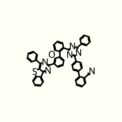 N#Cc1ccccc1-c1ccc(-c2nc(-c3ccccc3)nc(-c3cccc4oc5c(-c6nc(-c7ccccc7)c7sc8ccccc8c7n6)cccc5c34)n2)cc1